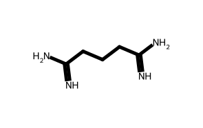 N=C(N)CCCC(=N)N